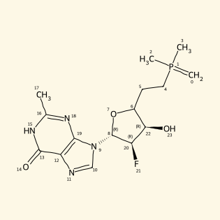 C=P(C)(C)CCC1O[C@@H](n2cnc3c(=O)[nH]c(C)nc32)[C@H](F)[C@@H]1O